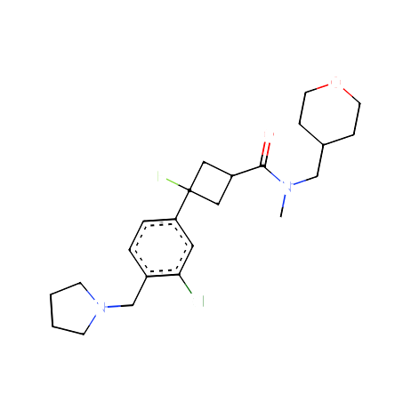 CN(CC1CCOCC1)C(=O)C1CC(F)(c2ccc(CN3CCCC3)c(Cl)c2)C1